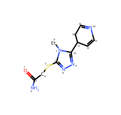 CCn1c(SCC(N)=O)nnc1C1C=CN=CC1